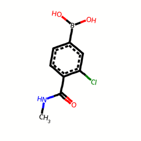 CNC(=O)c1ccc(B(O)O)cc1Cl